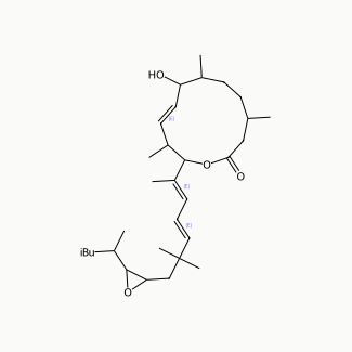 CCC(C)C(C)C1OC1CC(C)(C)/C=C/C=C(\C)C1OC(=O)CC(C)CCC(C)C(O)/C=C/C1C